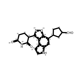 O=CC1CCC(c2cc3[nH]ccc3c3c(C4CCC(=O)NC4=O)noc23)C1